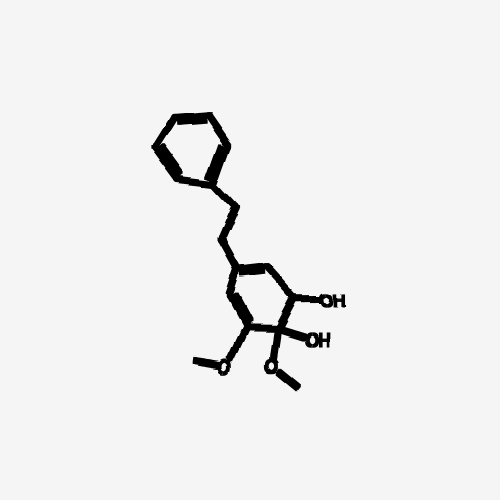 COC1=CC(CCc2ccccc2)=CC(O)C1(O)OC